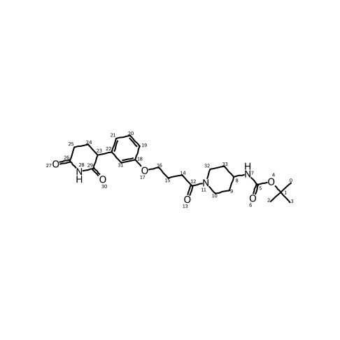 CC(C)(C)OC(=O)NC1CCN(C(=O)CCCOc2cccc(C3CCC(=O)NC3=O)c2)CC1